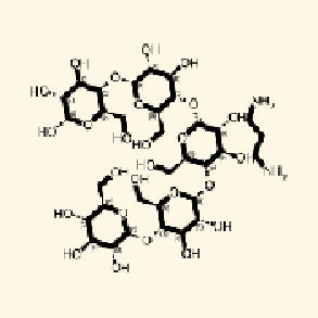 NCCCN.OC[C@H]1O[C@H](O[C@H]2[C@H](O)[C@@H](O)[C@@H](O[C@H]3[C@H](O)[C@@H](O)[C@@H](O[C@H]4[C@H](O)[C@@H](O)[C@@H](O[C@H]5[C@H](O)[C@@H](O)[C@@H](O)O[C@@H]5CO)O[C@@H]4CO)O[C@@H]3CO)O[C@@H]2CO)[C@H](O)[C@@H](O)[C@@H]1O